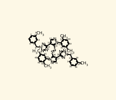 Cc1cccc(Cn2nnc(-c3cnn(-c4cc(C)ccc4C)c3SSc3c(-c4nnn(Cc5cccc(C)c5)n4)cnn3-c3cc(C)ccc3C)n2)c1